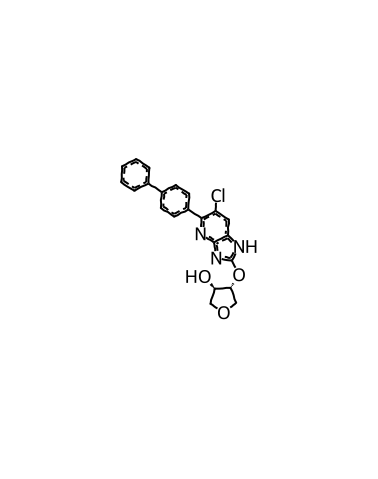 O[C@@H]1COC[C@H]1Oc1nc2nc(-c3ccc(-c4ccccc4)cc3)c(Cl)cc2[nH]1